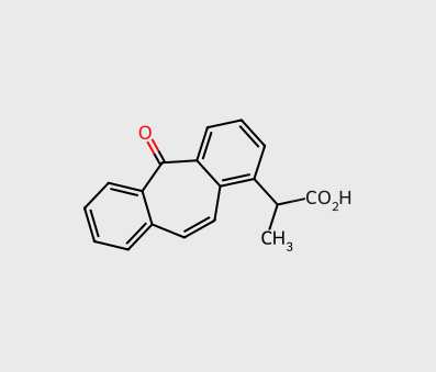 CC(C(=O)O)c1cccc2c(=O)c3ccccc3ccc12